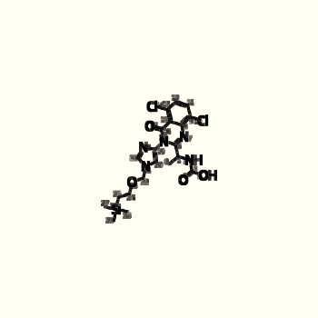 CC(NC(=O)O)c1nc2c(Cl)ccc(Cl)c2c(=O)n1-c1cn(COCC[Si](C)(C)C)cn1